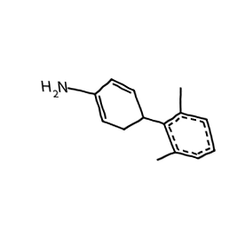 Cc1cccc(C)c1C1C=CC(N)=CC1